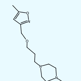 Cc1cc(COCCCN2CCN(C)CC2)no1